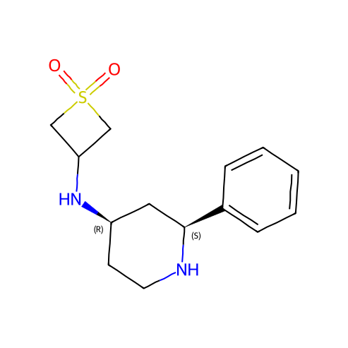 O=S1(=O)CC(N[C@@H]2CCN[C@H](c3ccccc3)C2)C1